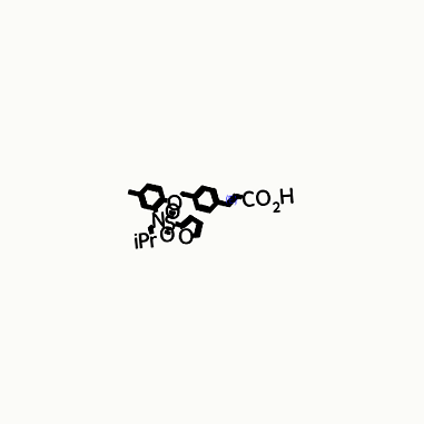 Cc1ccc(OCc2ccc(/C=C/C(=O)O)cc2)c(N(CC(C)C)S(=O)(=O)c2ccco2)c1